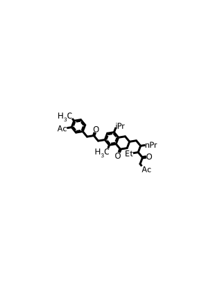 CCCC(CC1CC(=O)c2c(C)c(CC(=O)Cc3ccc(C)c(C(C)=O)c3)cc(C(C)C)c2C1)C(CC)C(=O)CC(C)=O